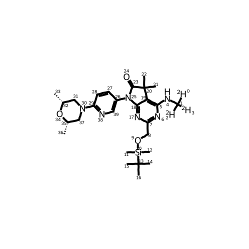 [2H]C([2H])([2H])Nc1nc(CO[Si](C)(C)C(C)(C)C)nc2c1C(C)(C)C(=O)N2c1ccc(N2C[C@@H](C)O[C@@H](C)C2)nc1